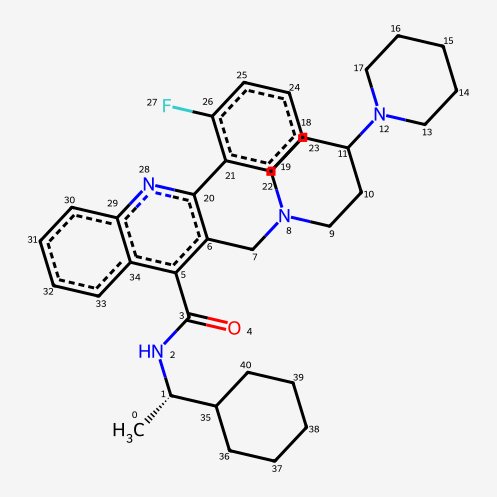 C[C@H](NC(=O)c1c(CN2CCC(N3CCCCC3)CC2)c(-c2ccccc2F)nc2ccccc12)C1CCCCC1